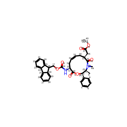 C[C@H]1[C@@H](c2ccccc2)OC(=O)[C@@H](NC(=O)OCC2c3ccccc3-c3ccccc32)CC=CC[C@@H](CC(=O)OC(C)(C)C)C(=O)N1C